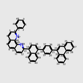 c1ccc(-c2ccc3ccc4ccc(-c5ccc(-c6ccc(-c7cc8ccccc8c8ccccc78)cc6)c6ccccc56)nc4c3n2)cc1